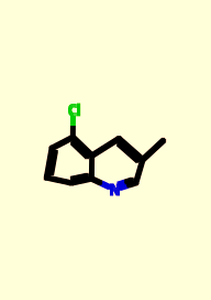 Cc1cnc2cccc(Cl)c2c1